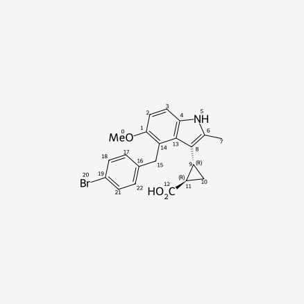 COc1ccc2[nH]c(C)c([C@@H]3C[C@H]3C(=O)O)c2c1Cc1ccc(Br)cc1